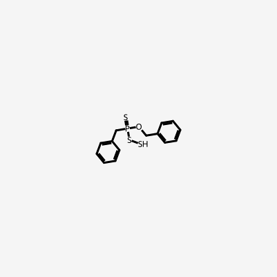 S=P(Cc1ccccc1)(OCc1ccccc1)SS